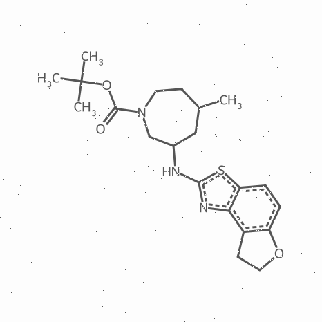 CC1CCN(C(=O)OC(C)(C)C)CC(Nc2nc3c4c(ccc3s2)OCC4)C1